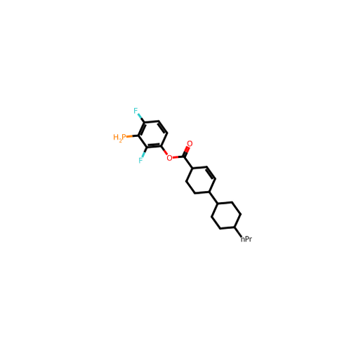 CCCC1CCC(C2C=CC(C(=O)Oc3ccc(F)c(P)c3F)CC2)CC1